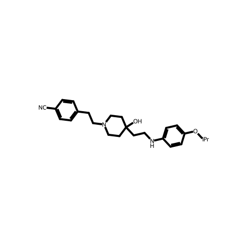 CC(C)Oc1ccc(NCCC2(O)CCN(CCc3ccc(C#N)cc3)CC2)cc1